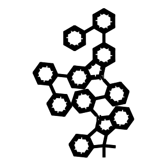 CC1(C)c2ccccc2-c2c1c1ccccc1n2-c1ccccc1-c1ccccc1-n1c2ccc(-c3ccccc3-c3ccccc3)cc2c2cc(-c3ccccc3-c3ccccc3)ccc21